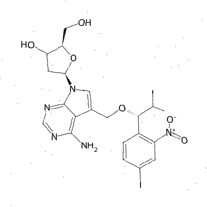 CC(C)[C@@H](OCc1cn([C@H]2CC(O)[C@@H](CO)O2)c2ncnc(N)c12)c1ccc(I)cc1[N+](=O)[O-]